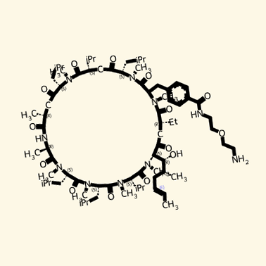 C/C=C/C[C@@H](C)[C@@H](O)[C@H]1C(=O)C[C@@H](CC)C(=O)N(C)C(Cc2ccc(C(=O)NCCOCCN)cc2)C(=O)N(C)[C@@H](CC(C)C)C(=O)C[C@@H](C(C)C)C(=O)N(C)[C@@H](CC(C)C)C(=O)C[C@@H](C)C(=O)N[C@H](C)C(=O)N(C)[C@@H](CC(C)C)C(=O)N(C)[C@@H](CC(C)C)C(=O)N(C)[C@@H](C(C)C)C(=O)N1C